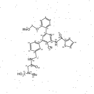 COCOc1ccccc1-c1cc(-c2cccc(CNC(=O)CN(C(=O)O)C(C)(C)C)c2)c(C#N)c(NC(=O)c2cccs2)n1